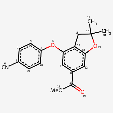 [C-]#[N+]c1ccc(Oc2cc(C(=O)OC)cc3c2CC(C)(C)O3)cc1